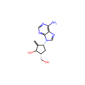 C=C1C(O)[C@@H](CO)C[C@H]1n1cnc2c(N)ncnc21